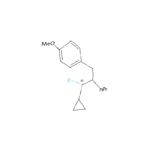 CCCC(Cc1ccc(OC)cc1)[C@@H](F)C1CC1